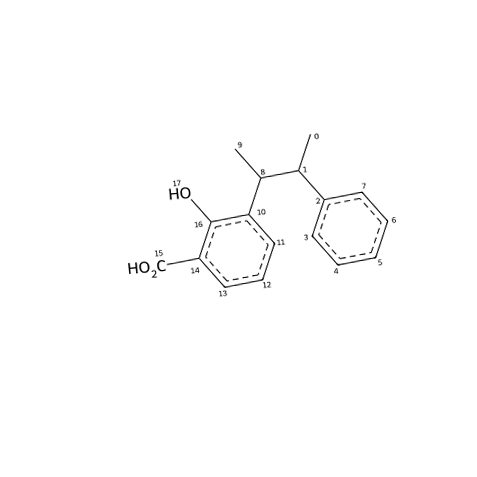 CC(c1ccccc1)C(C)c1cccc(C(=O)O)c1O